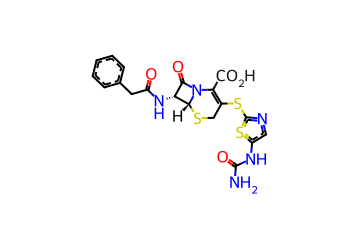 NC(=O)Nc1cnc(SC2=C(C(=O)O)N3C(=O)[C@@H](NC(=O)Cc4ccccc4)[C@H]3SC2)s1